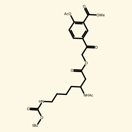 COC(=O)c1cc(C(=O)COC(=O)CC(CCCCNC(=O)OC(C)(C)C)NC(C)=O)ccc1OC(C)=O